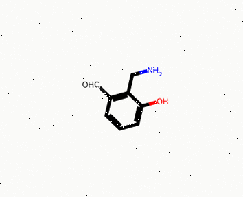 NCc1c(O)cccc1C=O